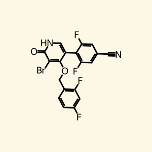 N#Cc1cc(F)c(-c2c[nH]c(=O)c(Br)c2OCc2ccc(F)cc2F)c(F)c1